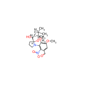 COc1cc(C=O)c([N+](=O)[O-])c(N2CCC[C@]2(CO)O[Si](C)(C)C(C)(C)C)c1OC